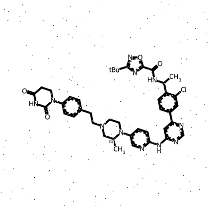 CC(NC(=O)c1nc(C(C)(C)C)no1)c1ccc(-c2cc(Nc3ccc(N4CCN(CCc5ccc(N6CCC(=O)NC6=O)cc5)C[C@@H]4C)cn3)ncn2)cc1Cl